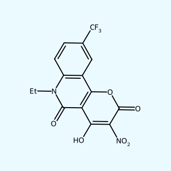 CCn1c(=O)c2c(O)c([N+](=O)[O-])c(=O)oc2c2cc(C(F)(F)F)ccc21